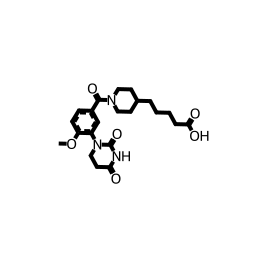 COc1ccc(C(=O)N2CCC(CCCCC(=O)O)CC2)cc1N1CCC(=O)NC1=O